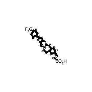 Cc1cc(-c2ccc(C(F)(F)F)cc2)sc1CN1CCc2ccc(OCC(=O)O)cc2CC1